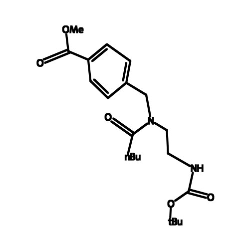 CCCCC(=O)N(CCNC(=O)OC(C)(C)C)Cc1ccc(C(=O)OC)cc1